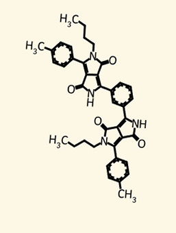 CCCCN1C(=O)C2=C(c3cccc(C4=C5C(=O)N(CCCC)C(c6ccc(C)cc6)=C5C(=O)N4)c3)NC(=O)C2=C1c1ccc(C)cc1